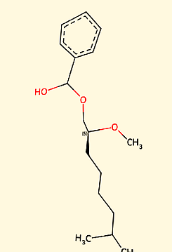 CO[C@@H](CCCCC(C)C)COC(O)c1ccccc1